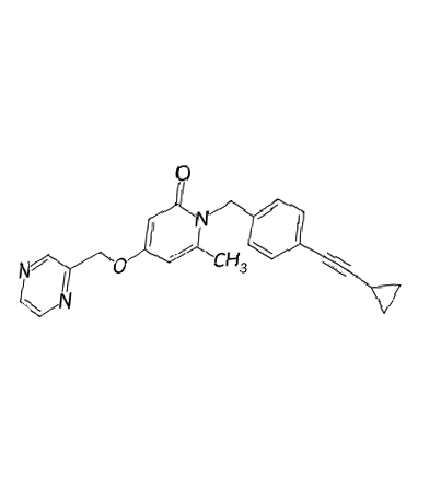 Cc1cc(OCc2cnccn2)cc(=O)n1Cc1ccc(C#CC2CC2)cc1